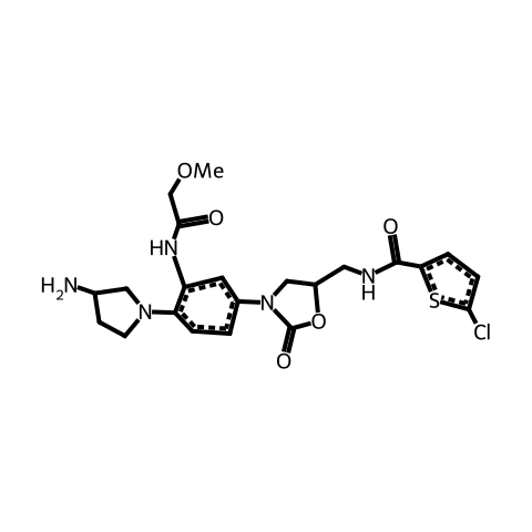 COCC(=O)Nc1cc(N2CC(CNC(=O)c3ccc(Cl)s3)OC2=O)ccc1N1CCC(N)C1